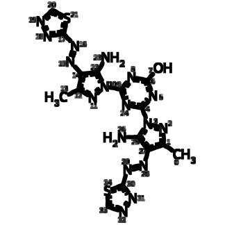 Cc1nn(-c2nc(O)nc(-n3nc(C)c(N=Nc4nncs4)c3N)n2)c(N)c1N=Nc1nncs1